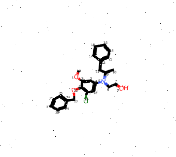 COc1cc(N(CCO)C(C)Cc2ccccc2)cc(Cl)c1OCc1ccccc1